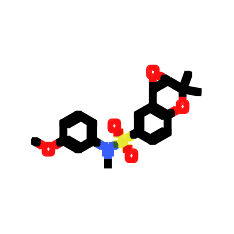 COc1cccc(N(C)S(=O)(=O)c2ccc3c(c2)C2OC2C(C)(C)O3)c1